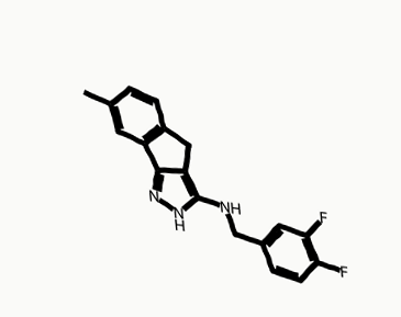 Cc1ccc2c(c1)-c1n[nH]c(NCc3ccc(F)c(F)c3)c1C2